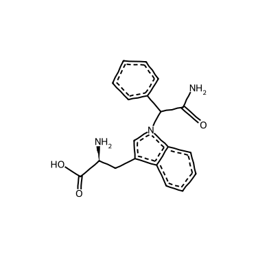 NC(=O)C(c1ccccc1)n1cc(C[C@H](N)C(=O)O)c2ccccc21